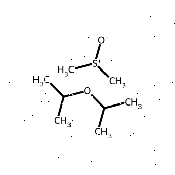 CC(C)OC(C)C.C[S+](C)[O-]